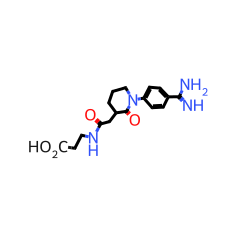 N=C(N)c1ccc(N2CCCC(CC(=O)NCCC(=O)O)C2=O)cc1